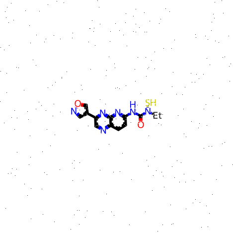 CCN(S)C(=O)Nc1ccc2ncc(-c3cnoc3)nc2n1